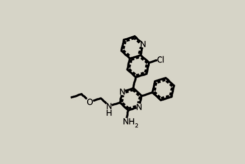 CCOCNc1nc(-c2cc(Cl)c3ncccc3c2)c(-c2ccccc2)nc1N